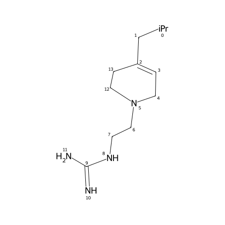 CC(C)CC1=CCN(CCNC(=N)N)CC1